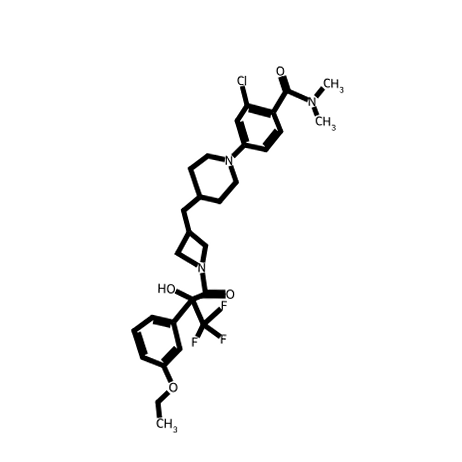 CCOc1cccc(C(O)(C(=O)N2CC(CC3CCN(c4ccc(C(=O)N(C)C)c(Cl)c4)CC3)C2)C(F)(F)F)c1